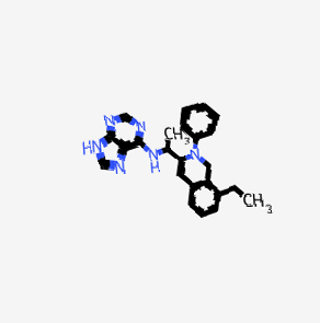 CCc1cccc2c1CN(c1ccccc1)C(C(C)Nc1ncnc3[nH]cnc13)=C2